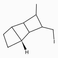 CC1C(CI)C2C1C1CC[C@H]12